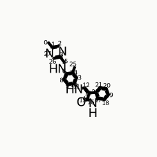 Cc1cnc(CNc2ccc(NC=C3C(=O)Nc4ccccc43)cc2C)cn1